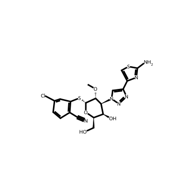 CO[C@@H]1[C@@H](n2cc(-c3csc(N)n3)nn2)[C@@H](O)[C@@H](CO)O[C@@H]1Sc1cc(Cl)ccc1C#N